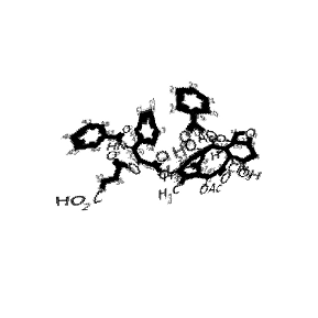 CC(=O)O[C@H]1C(=O)[C@]2(C)[C@@H](O)CC3OC[C@@]3(OC(C)=O)[C@H]2[C@H](OC(=O)c2ccccc2)[C@]2(O)C[C@H](OC(=O)[C@H](OC(=O)CCC(=O)O)[C@@H](NC(=O)c3ccccc3)c3ccccc3)C(C)=C1C2(C)C